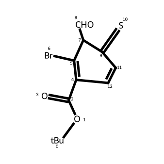 CC(C)(C)OC(=O)C1=C(Br)C(C=O)C(=S)C=C1